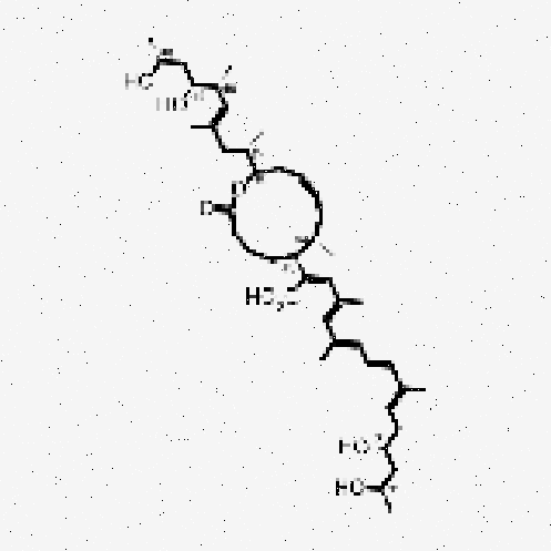 CC(=CC=CC(C)=CC[C@@H](O)C[C@@H](C)O)C=C(C)C=C(C(=O)O)[C@H]1CCCC(=O)O[C@@H]([C@@H](C)CC(C)=C[C@@H](C)[C@H](O)C[C@@H](C)O)CC=CC[C@@H]1C